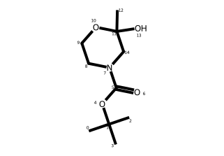 CC(C)(C)OC(=O)N1CCOC(C)(O)C1